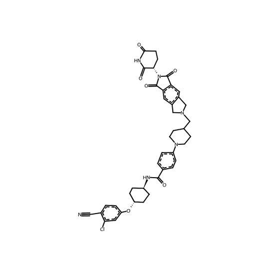 N#Cc1ccc(O[C@H]2CC[C@H](NC(=O)c3ccc(N4CCC(CN5Cc6cc7c(cc6C5)C(=O)N([C@H]5CCC(=O)NC5=O)C7=O)CC4)cc3)CC2)cc1Cl